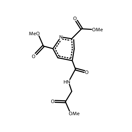 COC(=O)CNC(=O)c1cc(C(=O)OC)nc(C(=O)OC)c1